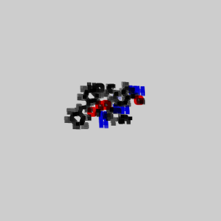 CC(C)C[C@H](NC(=O)OC(Cc1ccccc1)c1ccccc1)C(=O)NC(/C=C/C(=O)O)CC1CCNC1=O